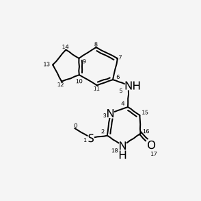 CSc1nc(Nc2ccc3c(c2)CCC3)cc(=O)[nH]1